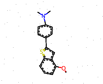 COc1cccc2sc(-c3ccc(N(C)C)cc3)cc12